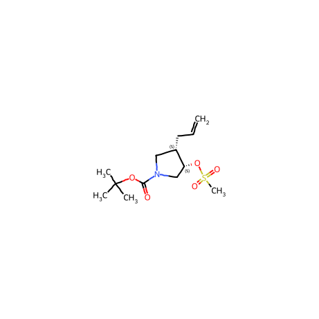 C=CC[C@H]1CN(C(=O)OC(C)(C)C)C[C@H]1OS(C)(=O)=O